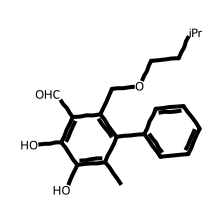 Cc1c(O)c(O)c(C=O)c(COCCC(C)C)c1-c1ccccc1